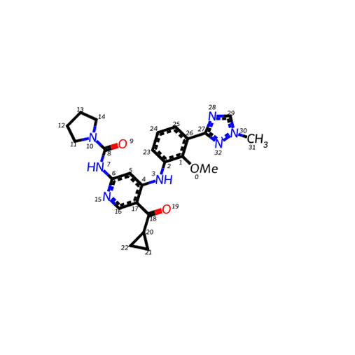 COc1c(Nc2cc(NC(=O)N3CCCC3)ncc2C(=O)C2CC2)cccc1-c1ncn(C)n1